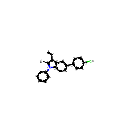 C=Cc1c(CC)n(-c2ccccc2)c2ccc(-c3ccc(Cl)cc3)cc12